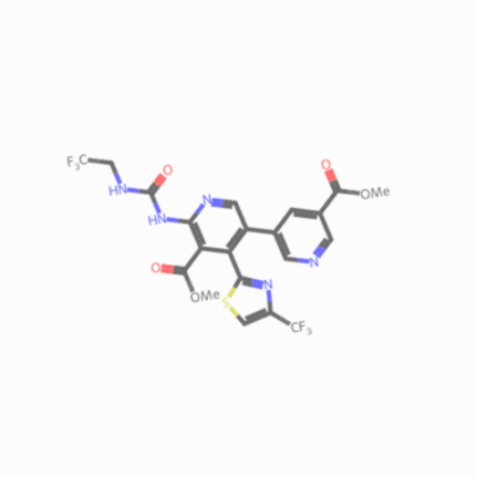 COC(=O)c1cncc(-c2cnc(NC(=O)NCC(F)(F)F)c(C(=O)OC)c2-c2nc(C(F)(F)F)cs2)c1